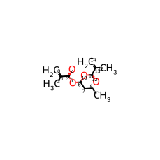 C=C(C)C(=O)OC(CCC)OC(=O)C(=C)C